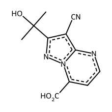 CC(C)(O)c1nn2c(C(=O)O)ccnc2c1C#N